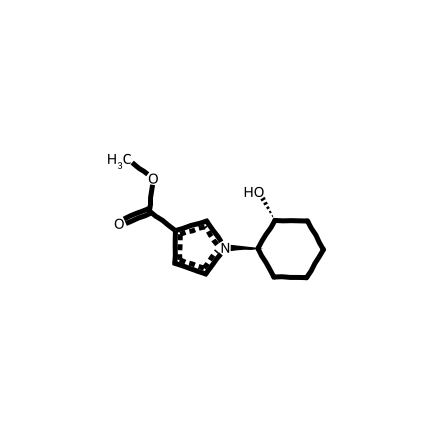 COC(=O)c1ccn([C@@H]2CCCC[C@H]2O)c1